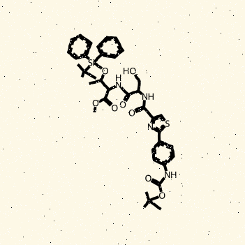 COC(=O)C(NC(=O)C(CO)NC(=O)c1csc(-c2ccc(NC(=O)OC(C)(C)C)cc2)n1)C(C)O[Si](c1ccccc1)(c1ccccc1)C(C)(C)C